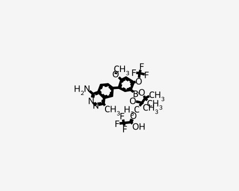 COc1cc(OC(F)(F)F)c(B2OC(C)(C)C(C)(C)O2)cc1-c1ccc2c(N)nnc(C)c2c1.O=C(O)C(F)(F)F